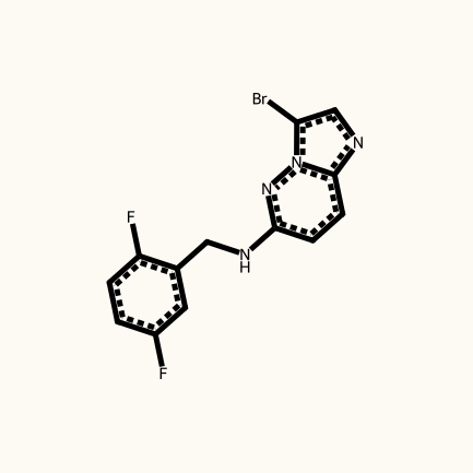 Fc1ccc(F)c(CNc2ccc3ncc(Br)n3n2)c1